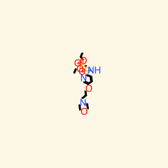 CCOP(=O)(CS(=N)(=O)c1ccc(OCCCN2CCOCC2)cn1)OCC